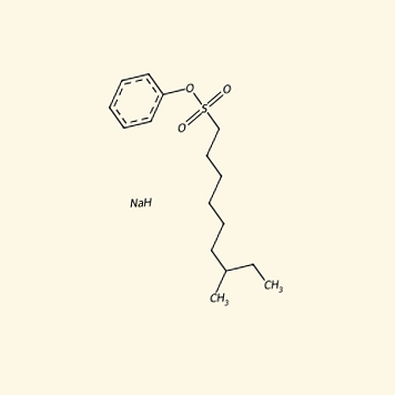 CCC(C)CCCCCCS(=O)(=O)Oc1ccccc1.[NaH]